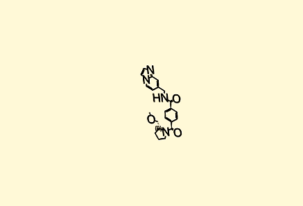 COC[C@H]1CCCN1C(=O)c1ccc(C(=O)NCc2ccn3ccnc3c2)cc1